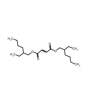 CCCCC(CC)COC(=O)/C=C/C(=O)OCC(CC)CCCC